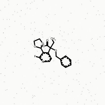 CCC(OCc1ccccc1)(C(=O)O)c1ccnc(F)c1C1OCCO1